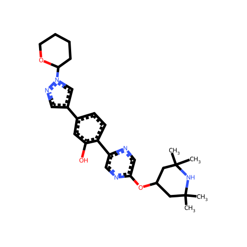 CC1(C)CC(Oc2cnc(-c3ccc(-c4cnn(C5CCCCO5)c4)cc3O)cn2)CC(C)(C)N1